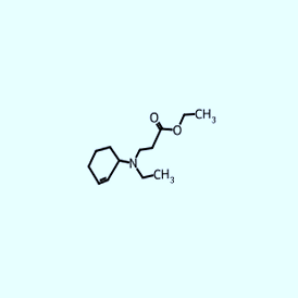 CCOC(=O)CCN(CC)C1C=CCCC1